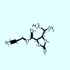 C#CCOC(=O)C1OC(=O)OC1C(C)C